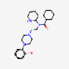 O=C(C1CCCCC1)N(CCN1CCN(c2ccccc2O)CC1)C1CCCCN1